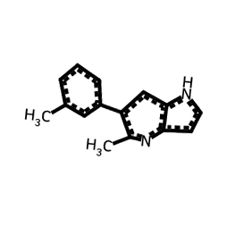 Cc1cccc(-c2cc3[nH]ccc3nc2C)c1